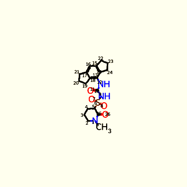 CN1CCCC(S(=O)(=O)NC(=O)Nc2c3c(cc4c2CCC4)CCC3)C1=O